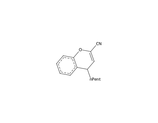 CCCCCC1C=C(C#N)Oc2ccccc21